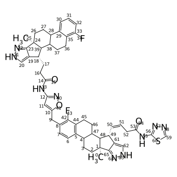 C[C@]12CCC3c4ccc(Cc5cc(NC(=O)CC[C@@H]6c7c[nH]nc7[C@@]7(C)CCC8c9cccc(F)c9CCC8C67)no5)c(F)c4CCC3C1[C@H](/C=C\CC(=O)Nc1nncs1)c1c[nH]nc12